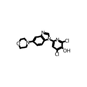 Oc1c(Cl)cc(-n2cnc3cc(N4CCOCC4)ccc32)nc1Cl